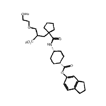 COCCOCC(CC1(C(=O)N[C@H]2CC[C@@H](C(=O)Oc3ccc4c(c3)CCC4)CC2)CCCC1)C(=O)O